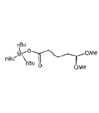 CCC[CH2][Sn]([CH2]CCC)([CH2]CCC)[O]C(=O)CCCC(OC)OC